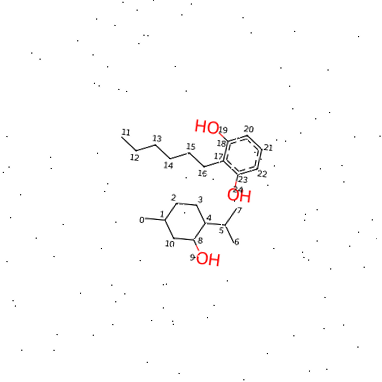 CC1CCC(C(C)C)C(O)C1.CCCCCCc1c(O)cccc1O